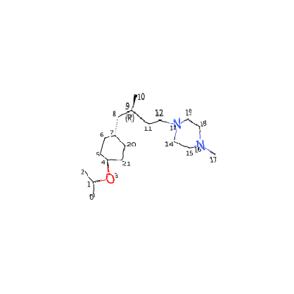 CC(C)O[C@H]1CC[C@H](C[C@@H](C)CCN2CCN(C)CC2)CC1